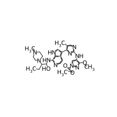 CCC(C(O)Nc1nccc2c(-c3nc(Nc4cn(S(C)(=O)=O)nc4OC)ncc3C)c[nH]c12)N1CCN(C)CC1